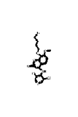 COc1ccc2c(Nc3c(Cl)cncc3Cl)cc(=O)oc2c1OCCCCBr